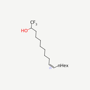 CCCCCC/C=C\CCCCCCCC(O)C(F)(F)F